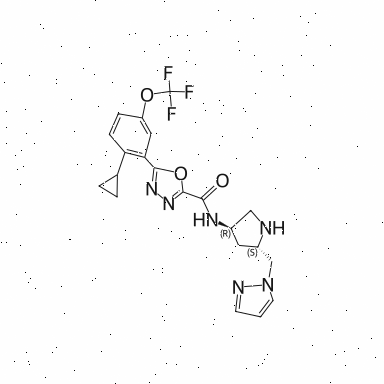 O=C(N[C@H]1CN[C@H](Cn2cccn2)C1)c1nnc(-c2cc(OC(F)(F)F)ccc2C2CC2)o1